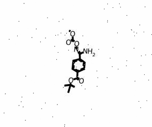 COC(=O)ON=C(N)c1ccc(C(=O)OC(C)(C)C)cc1